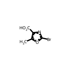 Cc1oc(Br)nc1C(=O)O